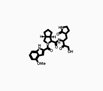 COc1cccc2[nH]c(C(=O)N3C[C@@H]4CCC[C@@H]4C3C(=O)NC(CC3CCNC3=O)C(=O)CO)cc12